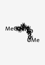 COc1ccc(CN2CCN(c3cccc(-c4cc(C)nc5c4CCN5c4ccc(OC)cc4C)n3)C2=O)cc1